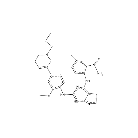 CCCN1CCC=C(c2ccc(Nc3nc(Nc4ccc(C)cc4C(N)=O)c4ccnc-4[nH]3)c(OC)c2)C1